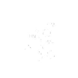 COc1ccc(OC)c(S(=O)(=O)N[C@@H]2C[C@H](CN3C(=O)c4ccccc4C3=O)N(C)C2)c1